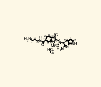 CCn1c(CN(C=O)c2nc3cc[nH]c3nc2N)[n+](CC)c2ccc(C(=O)NCCCN)cc21.Cl.[Cl-]